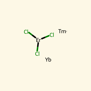 [Cl][Er]([Cl])[Cl].[Tm].[Yb]